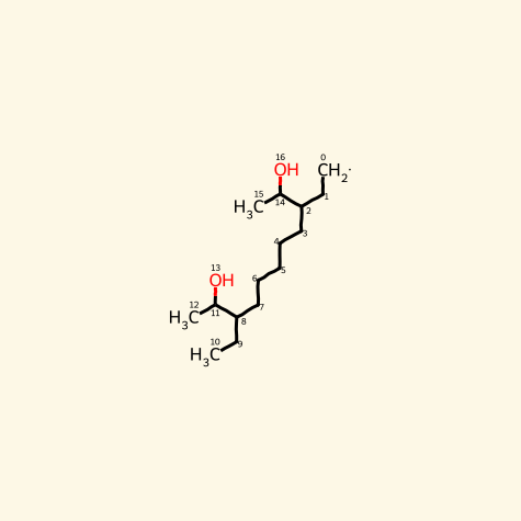 [CH2]CC(CCCCCC(CC)C(C)O)C(C)O